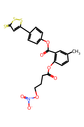 Cc1ccc(OC(=O)CCCO[N+](=O)[O-])c(C(=O)Oc2ccc(-c3cc(=S)ss3)cc2)c1